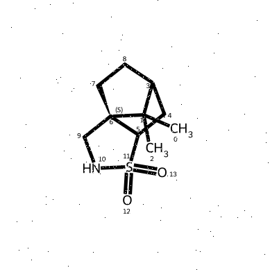 CC1(C)C2[CH]C3[C@]1(CC2)CNS3(=O)=O